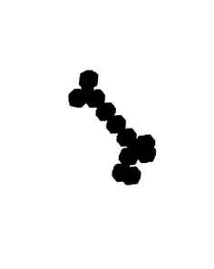 c1ccc(-n2c3ccccc3c3cc(-c4ccc(-c5ccc(-c6ccc(N(c7ccc(-c8cccc9ccccc89)cc7)c7cccc8ccccc78)cc6)cc5)cc4)ccc32)cc1